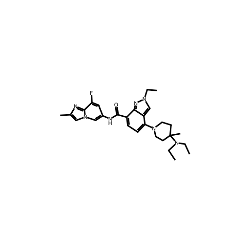 CCN(CC)C1(C)CCN(c2ccc(C(=O)Nc3cc(F)c4nc(C)cn4c3)c3nn(CC)cc23)CC1